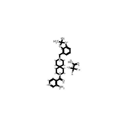 CCC1(C)Oc2cccc(CN3CCC4(CC3)CCN(C(=O)c3ccncc3N)CC4)c2O1.O=C(O)C(F)(F)F